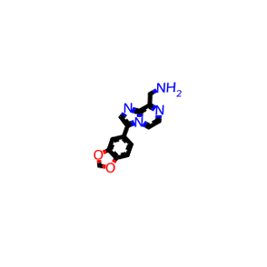 NCc1nccn2c(-c3ccc4c(c3)OCO4)cnc12